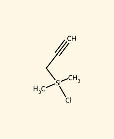 C#CC[Si](C)(C)Cl